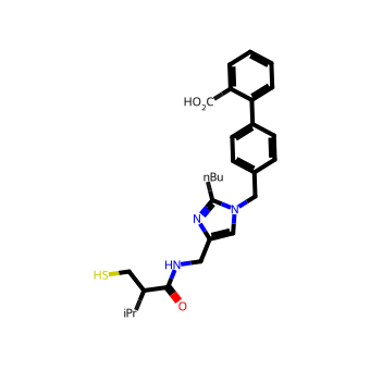 CCCCc1nc(CNC(=O)C(CS)C(C)C)cn1Cc1ccc(-c2ccccc2C(=O)O)cc1